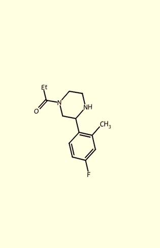 CCC(=O)N1CCNC(c2ccc(F)cc2C)C1